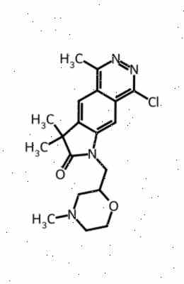 Cc1nnc(Cl)c2cc3c(cc12)C(C)(C)C(=O)N3CC1CN(C)CCO1